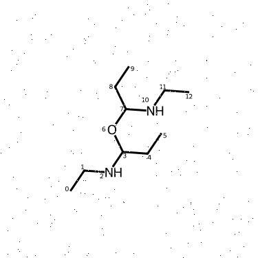 CCNC(CC)OC(CC)NCC